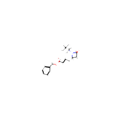 CC(C)(C)[Si](C)(C)N1C(=O)C[C@H]1CC=CC(=O)OCc1ccccc1